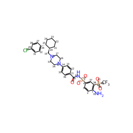 Nc1ccc(S(=O)(=O)NC(=O)c2ccc(N3CCN(C[C@@H]4CCCC[C@H]4c4ccc(Cl)cc4)CC3)cc2)cc1S(=O)(=O)C(F)(F)F